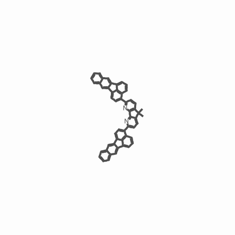 CC1(C)c2ccc(-c3ccc4c5c(cccc35)-c3cc5ccccc5cc3-4)nc2-c2nc(-c3ccc4c5c(cccc35)-c3cc5ccccc5cc3-4)ccc21